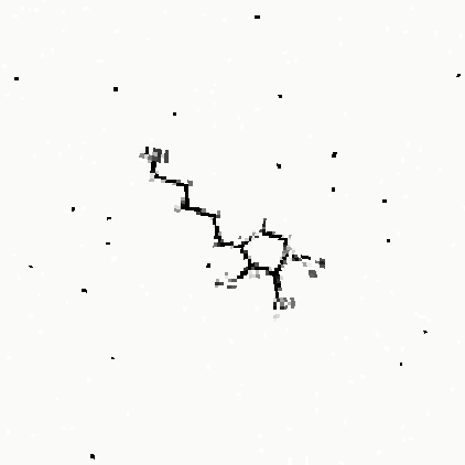 OCCCCCC1NCC(O)C(O)C1O